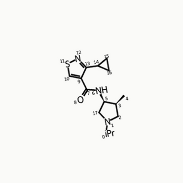 CC(C)N1C[C@H](C)[C@H](NC(=O)c2csnc2C2CC2)C1